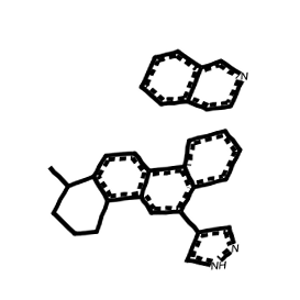 CC1CCCc2c1ccc1c2cc(-c2cn[nH]c2)c2ccccc21.c1ccc2cnccc2c1